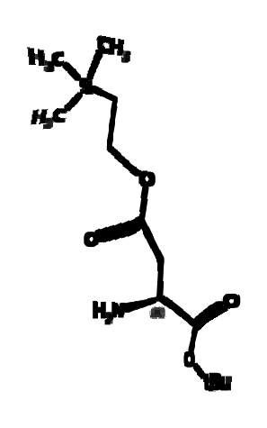 CC(C)(C)OC(=O)[C@@H](N)CC(=O)OCC[Si](C)(C)C